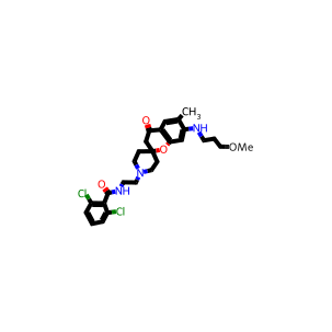 COCCCNc1cc2c(cc1C)C(=O)CC1(CCN(CCNC(=O)c3c(Cl)cccc3Cl)CC1)O2